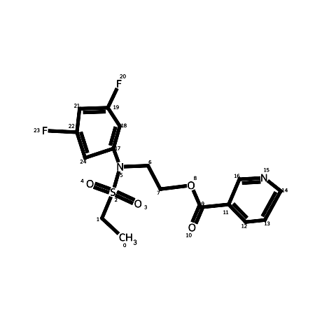 CCS(=O)(=O)N(CCOC(=O)c1cccnc1)c1cc(F)cc(F)c1